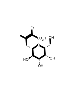 CCC(C(=O)O)=C(C)C[C@@H]1O[C@H](CO)[C@H](O)[C@H](O)[C@H]1O